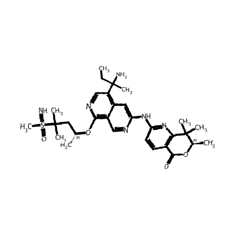 CCC(C)(N)c1cnc(O[C@H](C)CC(C)(C)S(C)(=N)=O)c2cnc(Nc3ccc4c(n3)C(C)(C)[C@@H](C)OC4=O)cc12